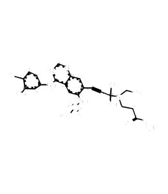 CCN(CCC(=O)OC)C(C)(C)C#Cc1cc2ncnc(Nc3ccc(F)c(Cl)c3)c2cc1NS(C)(=O)=O